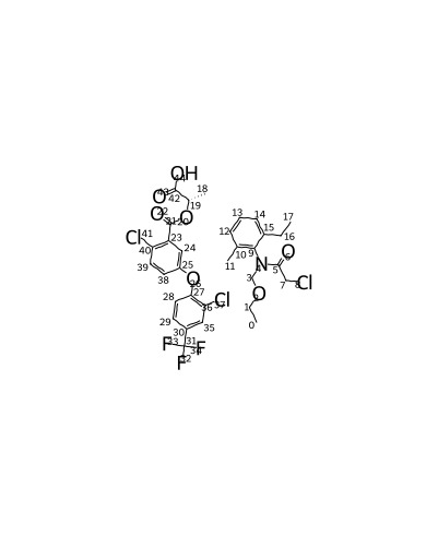 CCOCN(C(=O)CCl)c1c(C)cccc1CC.C[C@H](OC(=O)c1cc(Oc2ccc(C(F)(F)F)cc2Cl)ccc1Cl)C(=O)O